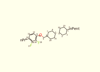 CCCCC[C@H]1CC[C@H](C2CCC(COc3ccc(CCC)c(F)c3F)CC2)CC1